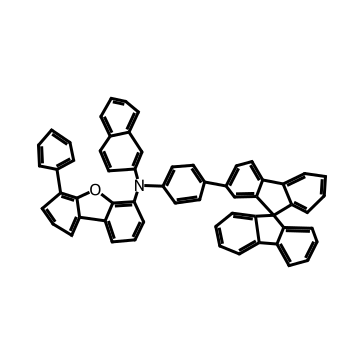 c1ccc(-c2cccc3c2oc2c(N(c4ccc(-c5ccc6c(c5)C5(c7ccccc7-c7ccccc75)c5ccccc5-6)cc4)c4ccc5ccccc5c4)cccc23)cc1